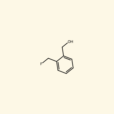 OCc1ccccc1CF